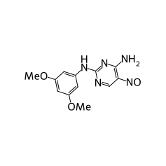 COc1cc(Nc2ncc(N=O)c(N)n2)cc(OC)c1